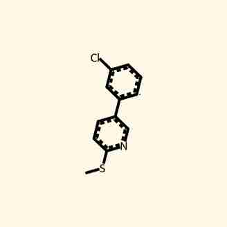 CSc1ccc(-c2[c]ccc(Cl)c2)cn1